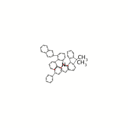 CC1(C)c2ccccc2-c2c(N(c3ccc(-c4ccccc4)cc3)c3cccc(-c4ccc5ccccc5c4)c3-c3ccccc3-c3ccccc3)cccc21